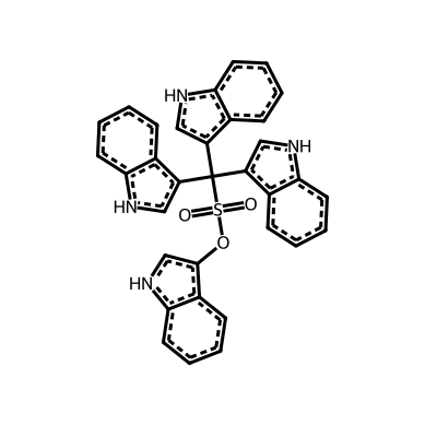 O=S(=O)(Oc1c[nH]c2ccccc12)C(c1c[nH]c2ccccc12)(c1c[nH]c2ccccc12)c1c[nH]c2ccccc12